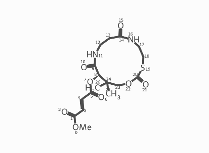 COC(=O)/C=C/C(=O)O[C@H]1C(=O)NCCC(=O)NCCSC(=O)OCC1(C)C